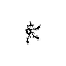 C#CCOc1ccc(N=C(C)C)c(OCC#C)c1OCC#C